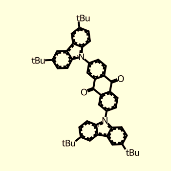 CC(C)(C)c1ccc2c(c1)c1cc(C(C)(C)C)ccc1n2-c1ccc2c(c1)C(=O)c1cc(-n3c4ccc(C(C)(C)C)cc4c4cc(C(C)(C)C)ccc43)ccc1C2=O